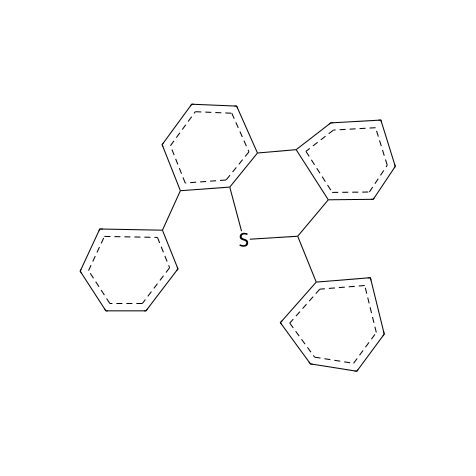 c1ccc(-c2cccc3c2SC(c2ccccc2)c2ccccc2-3)cc1